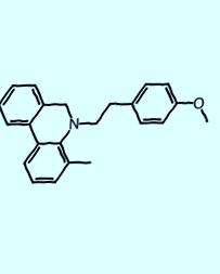 COc1ccc(CCN2Cc3ccccc3-c3cccc(C)c32)cc1